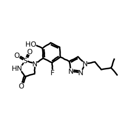 CC(C)CCn1cc(-c2ccc(O)c(N3CC(=O)NS3(=O)=O)c2F)nn1